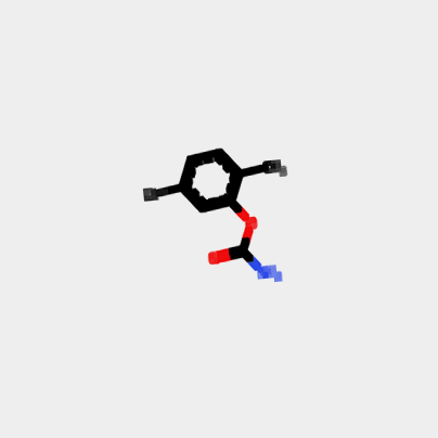 CCc1ccc(C)c(OC(N)=O)c1